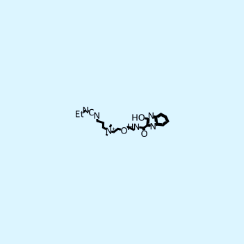 CCN=C=NCCC[N+](C)(C)CCOCCNC(=O)c1nc2ccccc2nc1O